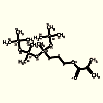 C=C(C)C(=O)OCCC[Si](C)(O[Si](C)(C)C)O[Si](C)(C)O[Si](C)(C)C